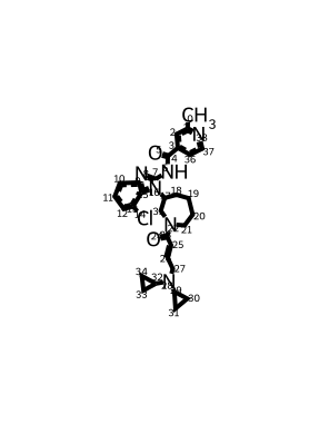 Cc1cc(C(=O)Nc2nc3cccc(Cl)c3n2C2CCCCN(C(=O)/C=C/CN(C3CC3)C3CC3)C2)ccn1